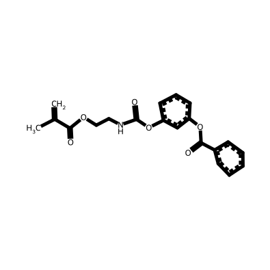 C=C(C)C(=O)OCCNC(=O)Oc1cccc(OC(=O)c2ccccc2)c1